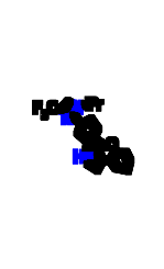 COc1ccccc1-c1cc[nH]c1Cc1ccc(-c2nc(C(F)(F)F)cn2C(C)C)cc1